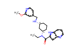 CCN(C(=O)c1cc2ncccc2[nH]1)[C@H]1CCC[C@@H](NCc2ccnc(OC)c2)C1